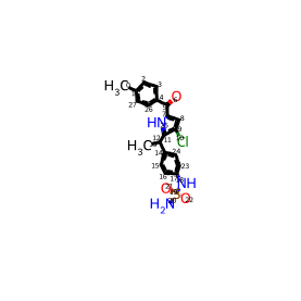 Cc1ccc(C(=O)c2cc(Cl)c(C(C)c3ccc(NS(N)(=O)=O)cc3)[nH]2)cc1